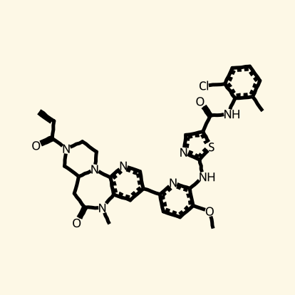 C=CC(=O)N1CCN2c3ncc(-c4ccc(OC)c(Nc5ncc(C(=O)Nc6c(C)cccc6Cl)s5)n4)cc3N(C)C(=O)CC2C1